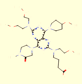 COCCN(CCCC(=O)O)c1nc(N2CCN(C)C(=O)C2)c2nc(N(CCOC)CCOC)nc(N3CCC(OC)CC3)c2n1